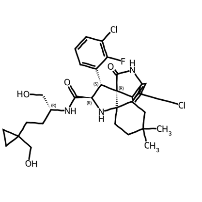 CC1(C)CCC2(CC1)N[C@@H](C(=O)N[C@@H](CO)CCC1(CO)CC1)[C@H](c1cccc(Cl)c1F)[C@]21C(=O)Nc2cc(Cl)ccc21